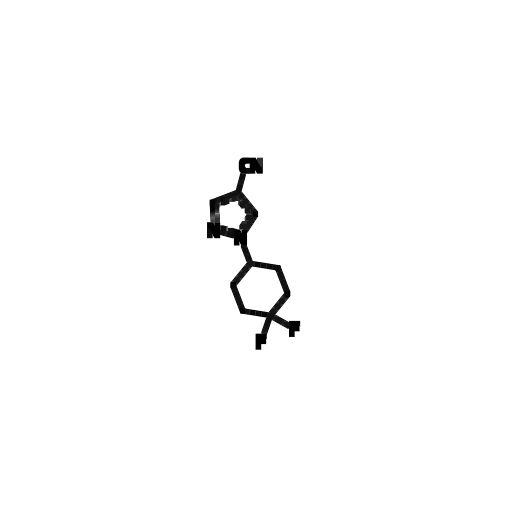 N#Cc1cnn(C2CCC(F)(F)CC2)c1